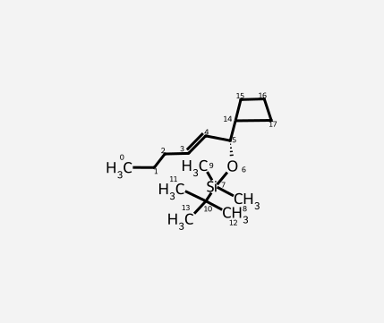 CCC/C=C/[C@@H](O[Si](C)(C)C(C)(C)C)C1CCC1